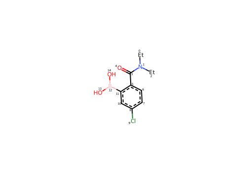 CCN(CC)C(=O)c1ccc(Cl)cc1B(O)O